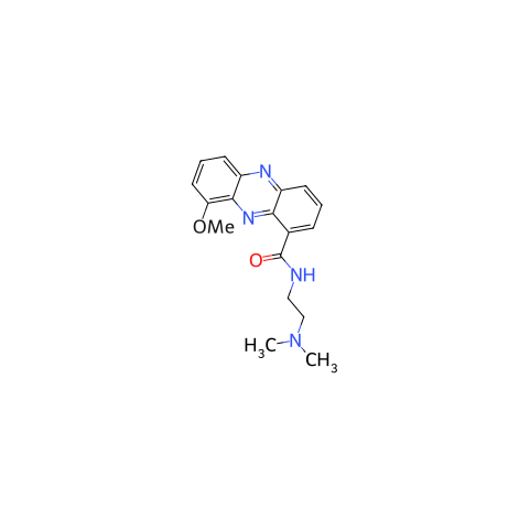 COc1cccc2nc3cccc(C(=O)NCCN(C)C)c3nc12